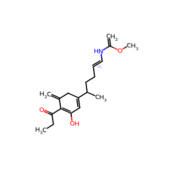 C=C(N/C=C/CCC(C)C1=CC(O)=C(C(=O)CC)C(=C)C1)OC